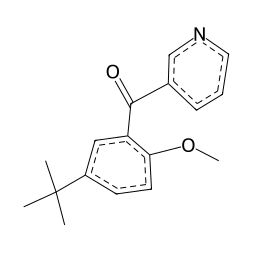 COc1ccc(C(C)(C)C)cc1C(=O)c1cccnc1